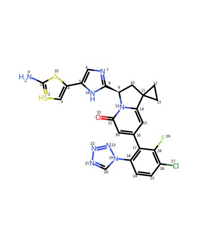 NC1=[SH]C=C(c2cnc([C@H]3CC4(CC4)c4cc(-c5c(-n6cnnn6)ccc(Cl)c5F)cc(=O)n43)[nH]2)S1